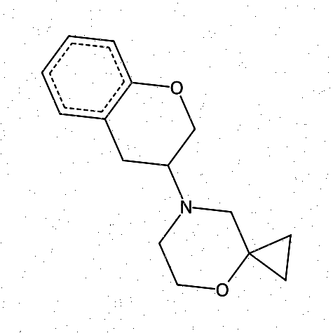 c1ccc2c(c1)CC(N1CCOC3(CC3)C1)CO2